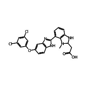 CN1c2c(cccc2-c2nc3cc(Oc4cc(Cl)cc(Cl)c4)ccc3[nH]2)NC1CC(=O)O